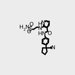 N#CC1(c2ccc(NC(=O)c3cccnc3NCCS(N)(=O)=O)cc2)CCCC1